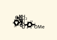 COCc1ccc(C(=O)NS(=O)(=O)c2ccccc2S(N)(=O)=O)cc1